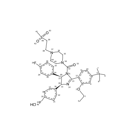 CCOc1cc(C(C)(C)C)ccc1C1=N[C@@H](c2ccc(F)cc2)[C@@H](c2ccc(F)cc2)N1C(=O)N1CCN(CCS(C)(=O)=O)CC1.Cl